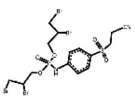 N#CCCS(=O)(=O)c1ccc(NP(=O)(OCC(Br)CBr)OCC(Br)CBr)cc1